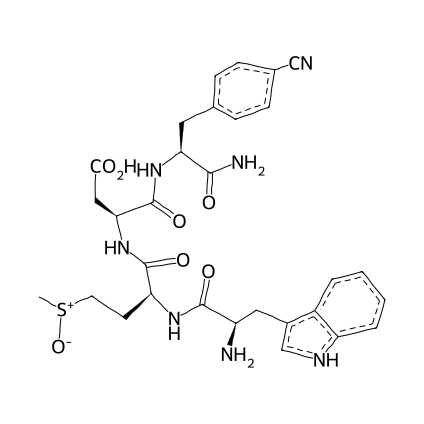 C[S+]([O-])CC[C@H](NC(=O)[C@H](N)Cc1c[nH]c2ccccc12)C(=O)N[C@@H](CC(=O)O)C(=O)N[C@@H](Cc1ccc(C#N)cc1)C(N)=O